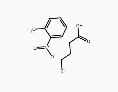 CCCCC(=O)O.Cc1ccccc1[N+](=O)[O-]